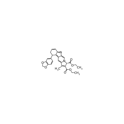 CCOC(=O)C1=C(C)c2cc3c4c(nc-3cn2[C@H]1C(=O)OCC)C=CCC4c1ccc2c(c1)OCO2